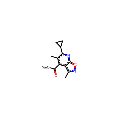 COC(=O)c1c(C)c(C2CC2)nc2onc(C)c12